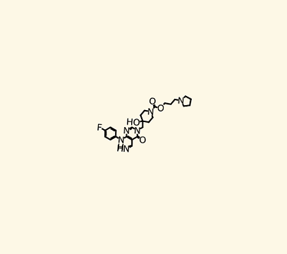 N=Cc1c(Nc2ccc(F)cc2)ncn(CC2(O)CCN(C(=O)OCCCN3CCCC3)CC2)c1=O